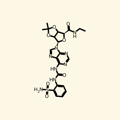 CCNC(=O)[C@H]1O[C@@H](n2cnc3c(NC(=O)Nc4ccccc4S(N)(=O)=O)ncnc32)C2OC(C)(C)OC21